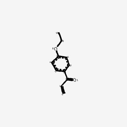 C=CC(=O)c1ccc(OCC)cc1